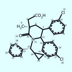 C[C@]1(CC(=O)O)CC(c2cccc(Cl)c2)C(c2ccc(Cl)cc2)N([C@@H](c2ccccn2)C2CC2)C1=O